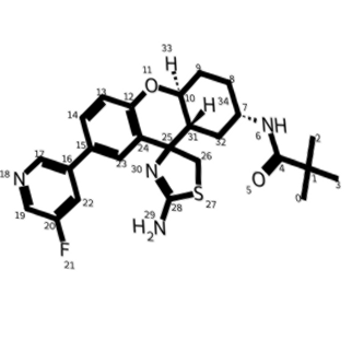 CC(C)(C)C(=O)N[C@H]1CC[C@@H]2Oc3ccc(-c4cncc(F)c4)cc3C3(CSC(N)=N3)[C@H]2C1